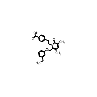 CCc1cccc(OCc2c(C)cc(C)c(=O)n2CCc2ccc(C(=O)O)cc2)c1